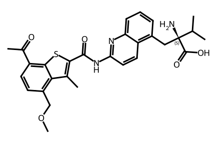 COCc1ccc(C(C)=O)c2sc(C(=O)Nc3ccc4c(C[C@@](N)(C(=O)O)C(C)C)cccc4n3)c(C)c12